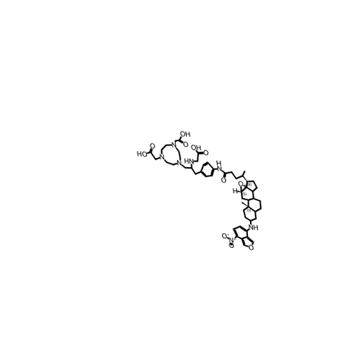 CC(CCC(=O)Nc1ccc(CC(CN2CCN(CC(=O)O)CCN(CC(=O)O)CC2)NCC(=O)O)cc1)[C@H]1CCC2C3CCC4CC(Nc5ccc([N+](=O)[O-])c6cocc56)CC[C@]4(C)C3C[C@@H]3O[C@@]231